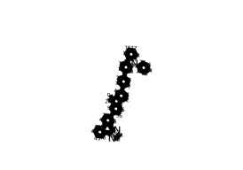 CC1(C)c2cc(-c3ccc(-c4ccc5c6ccccc6n(-c6ccccc6)c5c4)cc3)c#cc2-c2ccc(-c3ccc4c5ccccc5c5nccnc5c4c3)cc21